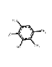 Cc1cc(C)c(C)c(C#N)c1C